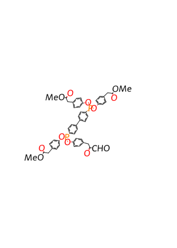 COC(=O)Cc1ccc(OP(Oc2ccc(CC(=O)C=O)cc2)c2ccc(-c3ccc(P(Oc4ccc(CC(=O)OC)cc4)Oc4ccc(CC(=O)OC)cc4)cc3)cc2)cc1